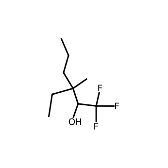 CCCC(C)(CC)C(O)C(F)(F)F